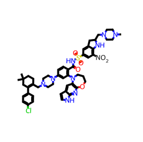 CN1CCN(CC2Cc3cc(S(=O)(=O)NC(=O)c4ccc(N5CCN(CC6=C(c7ccc(Cl)cc7)CC(C)(C)CC6)CC5)cc4N4CCCOc5nc6[nH]ccc6cc54)cc([N+](=O)[O-])c3N2)CC1